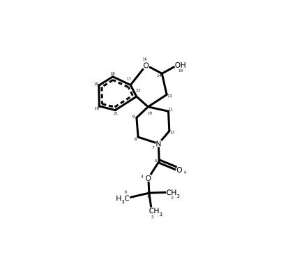 CC(C)(C)OC(=O)N1CCC2(CC1)CC(O)Oc1ccccc12